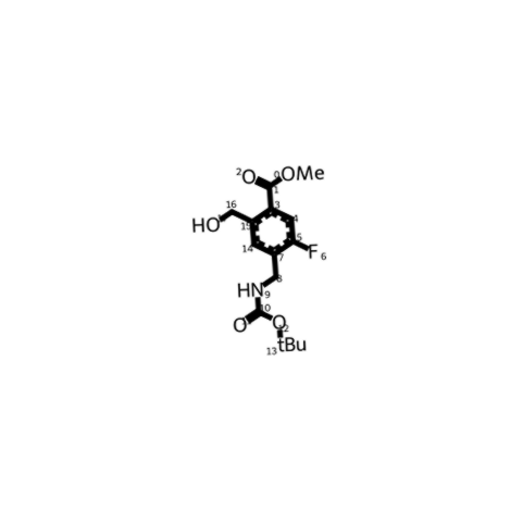 COC(=O)c1cc(F)c(CNC(=O)OC(C)(C)C)cc1CO